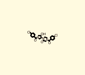 O=C(c1ccc(Cl)cc1)N1CCN([C@@H]2CN(C(=O)c3ccc(Cl)cc3)C[C@H]2O)C(=O)C1